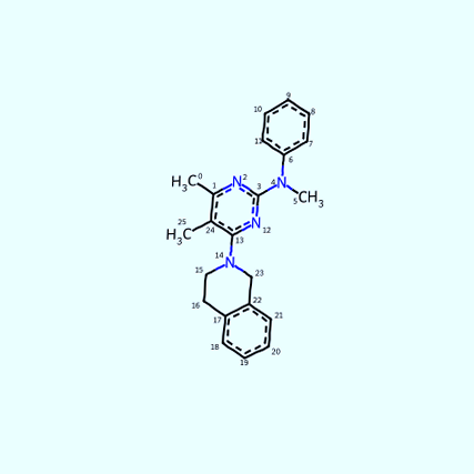 Cc1nc(N(C)c2ccccc2)nc(N2CCc3ccccc3C2)c1C